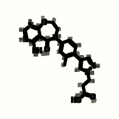 Cc1cc(N2CCOc3ncnc(N)c3C2=O)ccc1-c1cnn(CCC(=O)O)c1